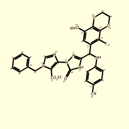 CCOC(=O)c1c(-n2nc(C(Nc3ccc(C#N)cc3)c3cc(OC)c4c(c3F)OCCO4)[nH]c2=O)ncn1Cc1ccccc1